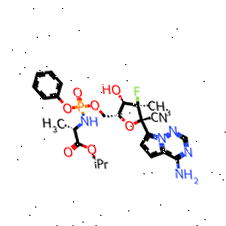 CC(C)OC(=O)[C@H](C)NP(=O)(OC[C@H]1O[C@@](C#N)(c2ccc3c(N)ncnn23)[C@](C)(F)[C@@H]1O)Oc1ccccc1